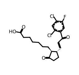 O=C(O)CCCCCC[C@@H]1C(=O)CC[C@H]1C=CC(=O)c1cc(F)c(Cl)cc1Cl